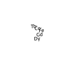 [Co].[Dy].[Fe].[Gd].[Tb]